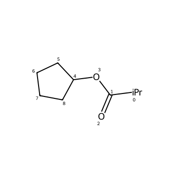 CC(C)C(=O)OC1CCCC1